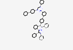 C1=CCC(C2C(c3ccc(-c4cccc(-c5nc(-c6ccccc6)cc(-c6ccc(-c7ccccc7)cc6)n5)c4)cc3)c3ccccc3-c3c(-c4ccccc4)c(C4=CCCC=C4)nn32)C=C1